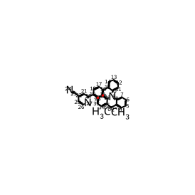 CC1(C)c2ccccc2N(c2ccccc2-c2ccc(-c3cc(C#N)ccn3)cc2)c2ccccc21